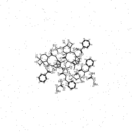 CC[Si](CC)(CC)O[C@H]1C(=O)[C@]2(C)CC[C@H]3OC[C@@]3(OC(C)=O)C2[C@H](OC(=O)c2ccccc2)[C@]2(O)C[C@H](OC(=O)[C@H](O[Si](C)(C[Si](O[C@@H](C(=O)O[C@H]3C[C@@]4(O)[C@@H](OC(=O)c5ccccc5)C5[C@@](C)(CC[C@H]6OC[C@@]56OC(C)=O)C(=O)[C@H](O[Si](CC)(CC)CC)C(=C3C)C4(C)C)[C@@H](NC(=O)OC(C)(C)C)c3ccccc3)(C(C)C)C(C)C)C(C)C)[C@@H](NC(=O)OC(C)(C)C)c3ccccc3)C(C)=C1C2(C)C